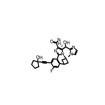 Cn1ccnc1C(O)c1c(C(N)=O)nc2n1C1CC(C1)c1cc(F)c(C#CC3(O)CCCC3)cc1-2